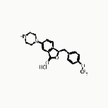 Cl.O=C1OC(Cc2ccc(OC(F)(F)F)cc2)c2ccc(N3CCNCC3)cc21